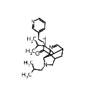 CC(C)CC1C2C=NC3(C(=O)NCc4cccnc4)C(C2)CN(CC(C)C)C13